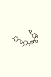 COCc1ccnc(C(=O)N2CC(C)(c3ccc(OCc4ccc(C)cc4)c(C)c3)C2)c1